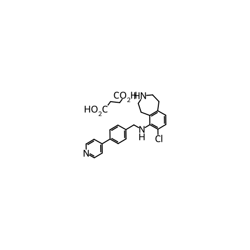 Clc1ccc2c(c1NCc1ccc(-c3ccncc3)cc1)CCNCC2.O=C(O)CCC(=O)O